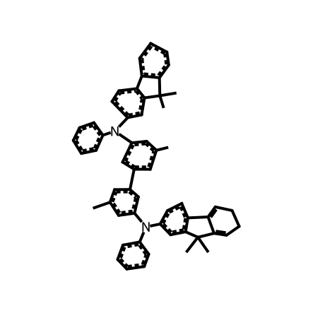 Cc1cc(-c2cc(C)cc(N(c3ccccc3)c3ccc4c(c3)C(C)(C)c3ccccc3-4)c2)cc(N(c2ccccc2)c2ccc3c(c2)C(C)(C)C2=CCCC=C23)c1